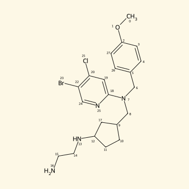 COc1ccc(CN(CC2CCC(NCCN)C2)c2cc(Cl)c(Br)cn2)cc1